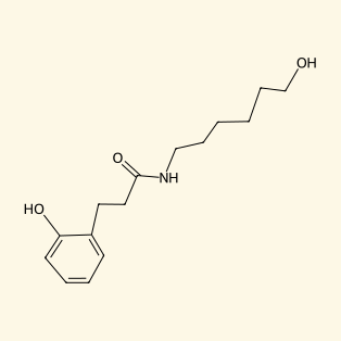 O=C(CCc1ccccc1O)NCCCCCCO